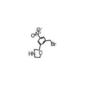 O=[N+]([O-])c1cc(CBr)cc(C2CNCCO2)c1